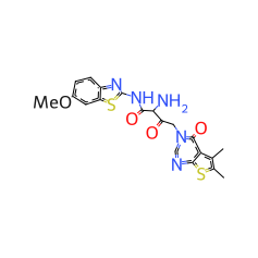 COc1ccc2nc(NC(=O)C(N)C(=O)Cn3cnc4sc(C)c(C)c4c3=O)sc2c1